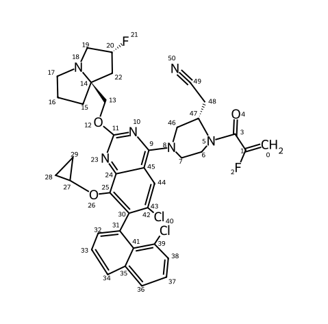 C=C(F)C(=O)N1CCN(c2nc(OC[C@@]34CCCN3C[C@H](F)C4)nc3c(OC4CC4)c(-c4cccc5cccc(Cl)c45)c(Cl)cc23)C[C@@H]1CC#N